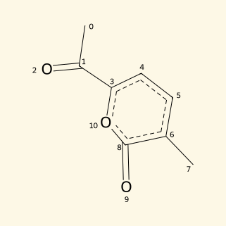 CC(=O)c1ccc(C)c(=O)o1